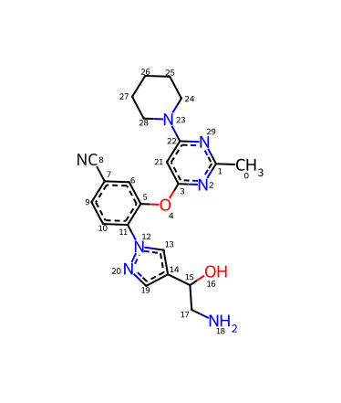 Cc1nc(Oc2cc(C#N)ccc2-n2cc(C(O)CN)cn2)cc(N2CCCCC2)n1